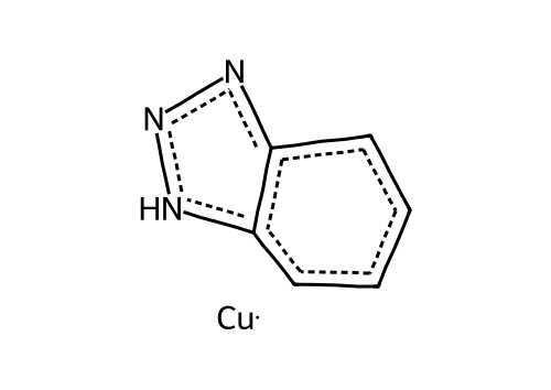 [Cu].c1ccc2[nH]nnc2c1